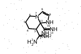 N=C(N)C1CCCN2C=CNC12C(=N)N